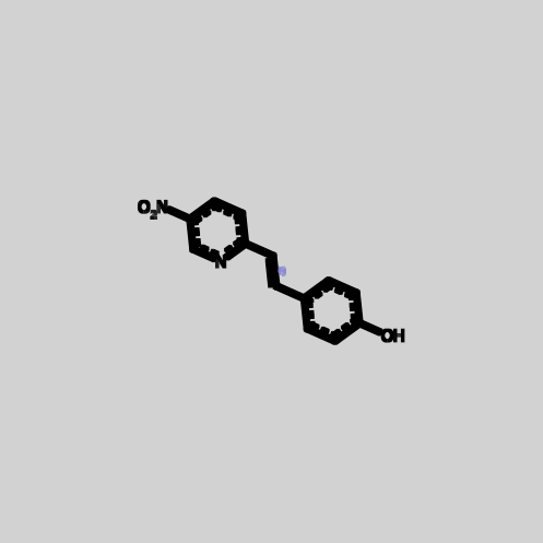 O=[N+]([O-])c1ccc(/C=C/c2ccc(O)cc2)nc1